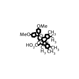 COc1ccc(C2(c3ccc(OC)cc3)C=C(C(=O)O)c3c4c(c5cc(C)c(C)cc5c3O2)-c2cc(C)c(C)cc2C4(C)CCC(=O)O)cc1